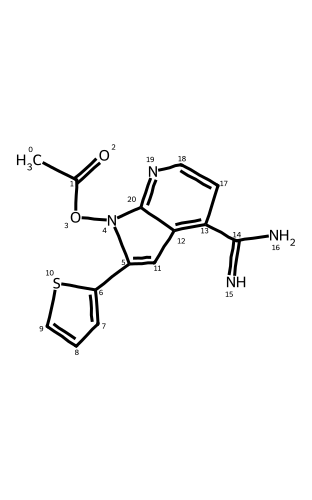 CC(=O)On1c(-c2cccs2)cc2c(C(=N)N)ccnc21